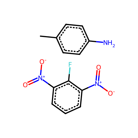 Cc1ccc(N)cc1.O=[N+]([O-])c1cccc([N+](=O)[O-])c1F